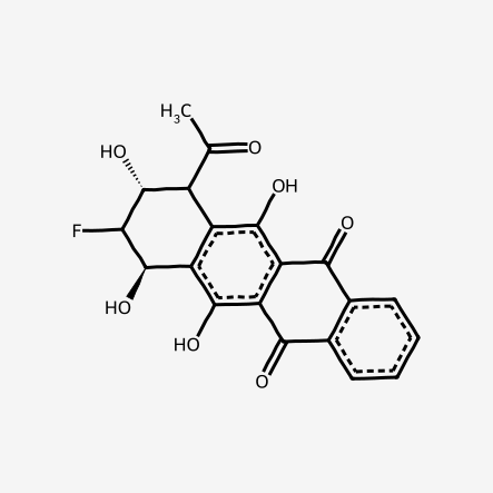 CC(=O)C1c2c(O)c3c(c(O)c2[C@@H](O)C(F)[C@@H]1O)C(=O)c1ccccc1C3=O